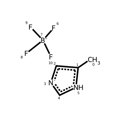 Cc1cnc[nH]1.F[B-](F)(F)F